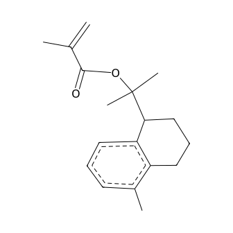 C=C(C)C(=O)OC(C)(C)C1CCCc2c(C)cccc21